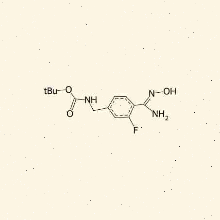 CC(C)(C)OC(=O)NCc1ccc(/C(N)=N/O)c(F)c1